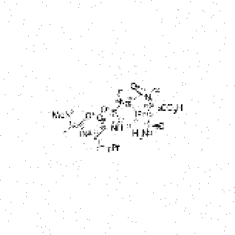 CN[C@@H](C)C(=O)N[C@@H](CC(C)C)C(=O)N[C@@H](C)C(=O)N(C)[C@H](C(=O)N(C)[C@@H](CC(N)=O)C(=O)O)C(C)C